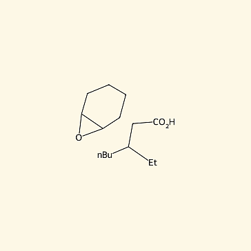 C1CCC2OC2C1.CCCCC(CC)CC(=O)O